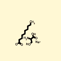 CCCCCCCCCC(=O)[O-].NC(CO)C(=O)O.[Na+]